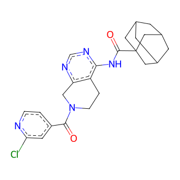 O=C(c1ccnc(Cl)c1)N1CCc2c(ncnc2NC(=O)C23CC4CC(CC(C4)C2)C3)C1